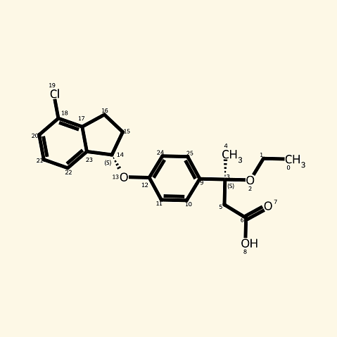 CCO[C@@](C)(CC(=O)O)c1ccc(O[C@H]2CCc3c(Cl)cccc32)cc1